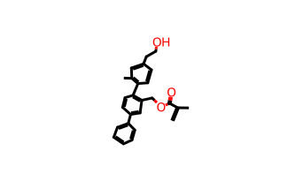 C=C(C)C(=O)OCc1cc(-c2ccccc2)ccc1-c1ccc(CCO)cc1C